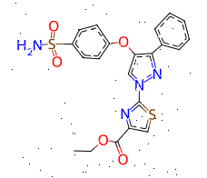 CCOC(=O)c1csc(-n2cc(Oc3ccc(S(N)(=O)=O)cc3)c(-c3ccccc3)n2)n1